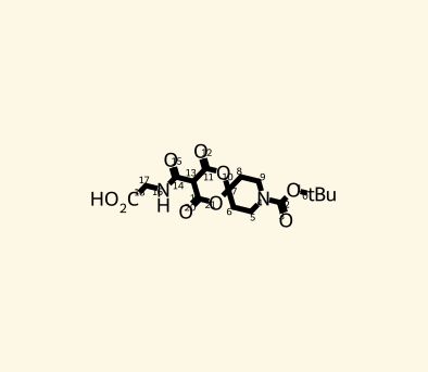 CC(C)(C)OC(=O)N1CCC2(CC1)OC(=O)C(C(=O)NCC(=O)O)C(=O)O2